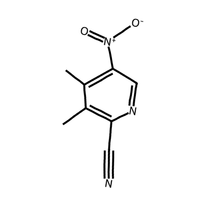 Cc1c([N+](=O)[O-])cnc(C#N)c1C